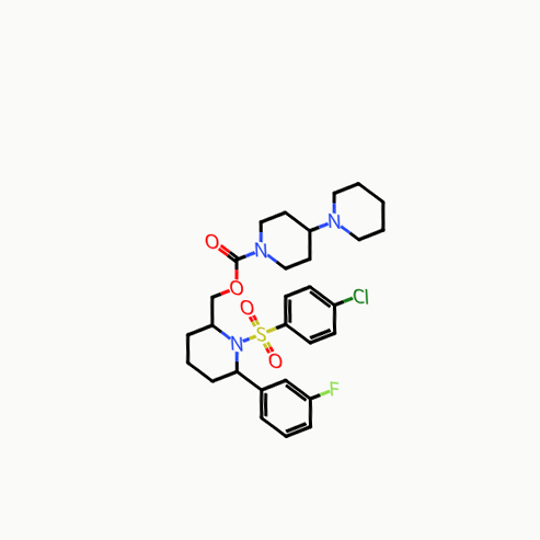 O=C(OCC1CCCC(c2cccc(F)c2)N1S(=O)(=O)c1ccc(Cl)cc1)N1CCC(N2CCCCC2)CC1